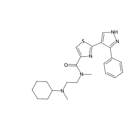 CN(CCN(C)C1CCCCC1)C(=O)c1csc(-c2c[nH]nc2-c2ccccc2)n1